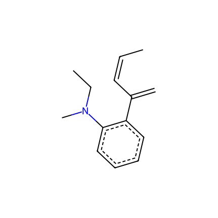 C=C(/C=C\C)c1ccccc1N(C)CC